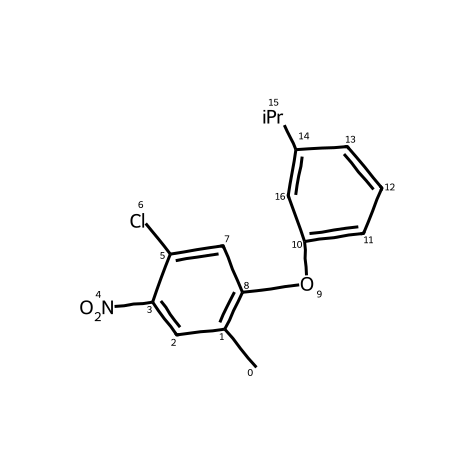 Cc1cc([N+](=O)[O-])c(Cl)cc1Oc1cccc(C(C)C)c1